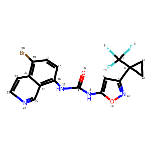 O=C(Nc1cc(C2(C(F)(F)F)CC2)no1)Nc1ccc(Br)c2ccncc12